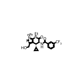 CCCn1nc(CO)c2c1N(CC)C(=O)[C@H](NC(=O)c1cccc(C(F)(F)F)c1)[C@@H]2C1CC1